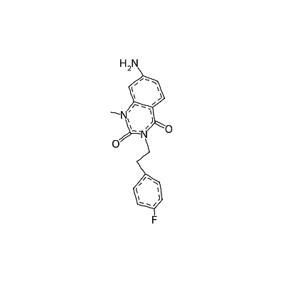 Cn1c(=O)n(CCc2ccc(F)cc2)c(=O)c2ccc(N)cc21